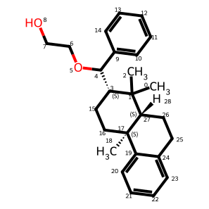 CC1(C)[C@@H](C(OCCO)c2ccccc2)CC[C@]2(C)c3ccccc3CC[C@@H]12